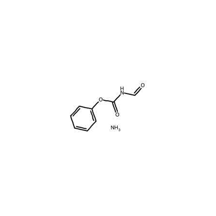 N.O=CNC(=O)Oc1ccccc1